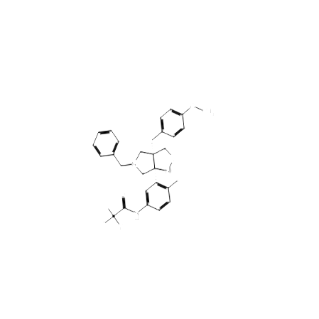 COc1ccc(C[C@]23CON[C@@]2(c2cc(NC(=O)C(F)(F)F)ccc2F)CN(Cc2ccccc2)C3)cc1